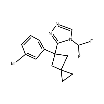 FC(F)n1cnnc1C1(c2cccc(Br)c2)CC2(CC2)C1